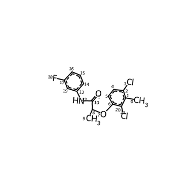 Cc1c(Cl)ccc(OC(C)C(=O)Nc2cccc(F)c2)c1Cl